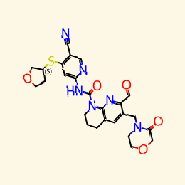 N#Cc1cnc(NC(=O)N2CCCc3cc(CN4CCOCC4=O)c(C=O)nc32)cc1S[C@H]1CCOC1